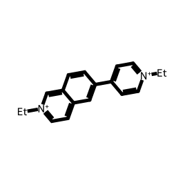 CC[n+]1ccc(-c2ccc3c[n+](CC)ccc3c2)cc1